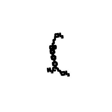 CCCCCCC(=O)Oc1ccc(-c2ccc(C3=CCC(C(C)CCCCC)CC3)cc2)cc1